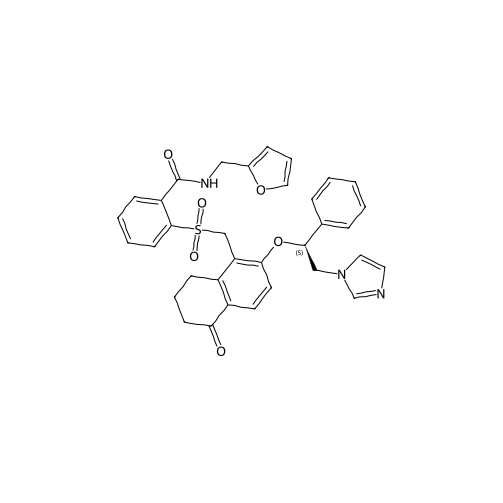 O=C(NCc1ccco1)c1ccccc1S(=O)(=O)Cc1c(O[C@H](Cn2ccnc2)c2ccccc2)ccc2c1CCCC2=O